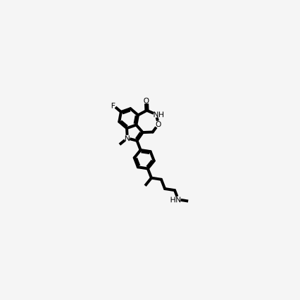 CNCCCC(C)c1ccc(-c2c3c4c(cc(F)cc4n2C)C(=O)NOC3)cc1